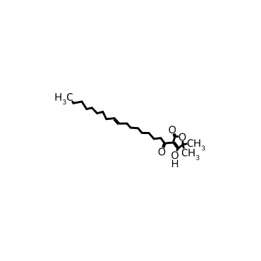 CCCCCCCCC=CCCCCCCCC(=O)C1=C(O)C(C)(C)OC1=O